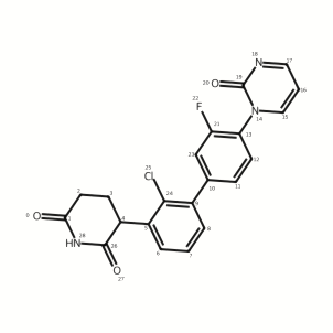 O=C1CCC(c2cccc(-c3ccc(-n4cccnc4=O)c(F)c3)c2Cl)C(=O)N1